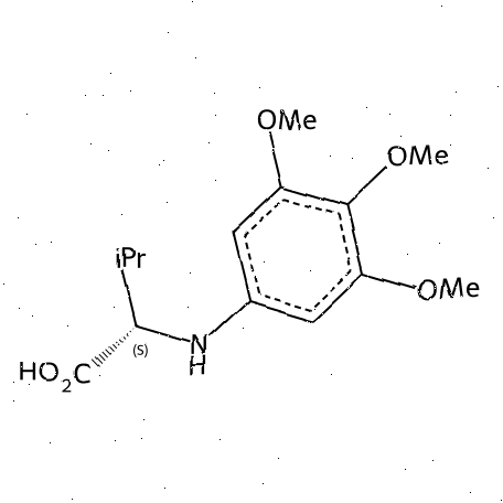 COc1cc(N[C@H](C(=O)O)C(C)C)cc(OC)c1OC